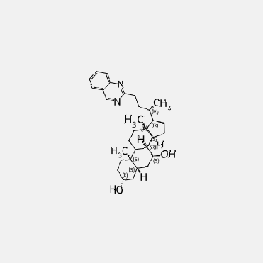 C[C@H](CCc1ncc2ccccc2n1)[C@H]1CC[C@H]2[C@H]3C(CC[C@]12C)[C@@]1(C)CC[C@@H](O)C[C@H]1C[C@@H]3O